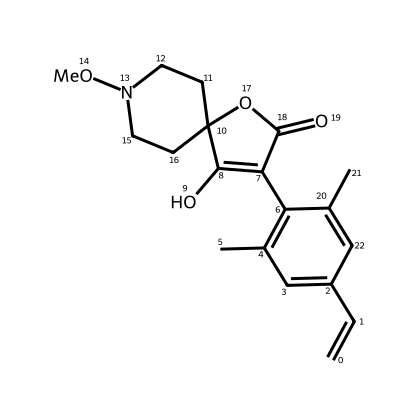 C=Cc1cc(C)c(C2=C(O)C3(CCN(OC)CC3)OC2=O)c(C)c1